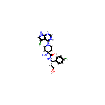 NC1(C(=O)N[C@@H](CCO)c2ccc(Cl)cc2)CCN(c2ncnc3[nH]cc(Br)c23)CC1